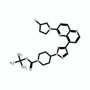 CC(C)(C)OC(=O)N1CCC(n2cc(-c3ccnc4ccc(N5CCC(F)C5)nc34)cn2)CC1